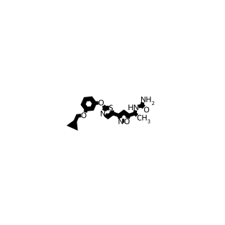 CC(NC(N)=O)c1cc(-c2cnc(Oc3cccc(OCC4CC4)c3)s2)no1